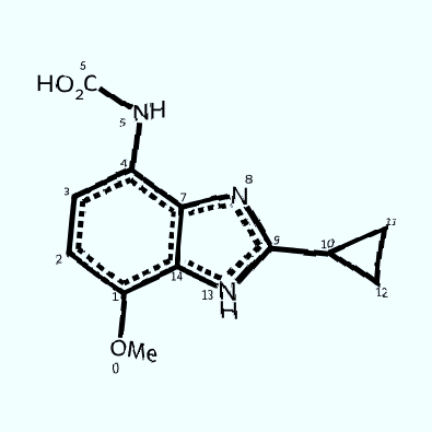 COc1ccc(NC(=O)O)c2nc(C3CC3)[nH]c12